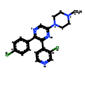 O=C(O)N1CCN(c2cnc(-c3ccc(Cl)cc3)c(-c3ccncc3Cl)n2)CC1